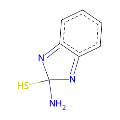 NC1(S)N=c2ccccc2=N1